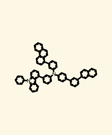 c1ccc(-n2c3ccccc3c3c(-c4cccc(N(c5ccc(-c6cccc(-c7ccc8ccccc8c7)c6)cc5)c5cccc(-c6cccc7c6ccc6ccccc67)c5)c4)cccc32)cc1